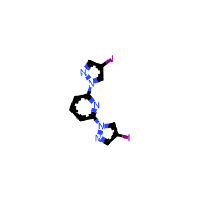 Ic1cnn(-c2cccc(-n3cc(I)cn3)n2)c1